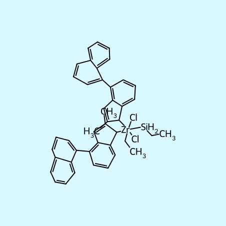 CC[SiH2][Zr]([Cl])([Cl])([CH2]C)([CH]1C(C)=Cc2c(-c3cccc4ccccc34)cccc21)[CH]1C(C)=Cc2c(-c3cccc4ccccc34)cccc21